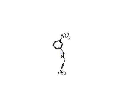 CCCCC#CC/N=C/c1cccc([N+](=O)[O-])c1